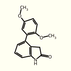 COc1ccc(OC)c(-c2cccc3c2CC(=O)N3)c1